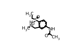 CCS(=O)(=O)c1ccc(NC(C)=O)cc1CNC